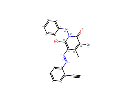 C#Cc1ccccc1/N=N/c1c(C)c(C#N)c(=O)n(Nc2ccccc2)c1O